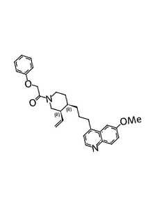 C=C[C@H]1CN(C(=O)COc2ccccc2)CC[C@H]1CCCc1ccnc2ccc(OC)cc12